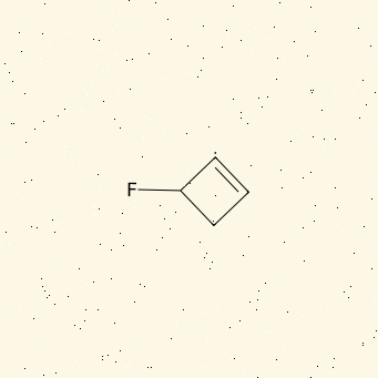 FC1[C]=CC1